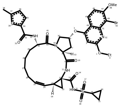 CCOc1cc(O[C@@H]2C[C@H]3C(=O)N[C@]4(C(=O)NS(=O)(=O)C5CC5)C[C@H]4/C=C\CCCC[C@H](NC(=O)c4ccc(C)s4)C(=O)N3C2)c2ccc(OC)c(Br)c2n1